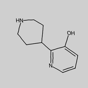 Oc1cccnc1C1CCNCC1